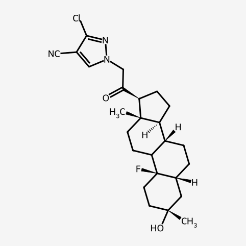 C[C@@]1(O)CC[C@]2(F)C3CC[C@]4(C)[C@@H](C(=O)Cn5cc(C#N)c(Cl)n5)CC[C@H]4[C@@H]3CC[C@@H]2C1